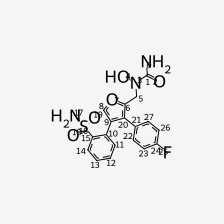 NC(=O)N(O)Cc1occ(-c2ccccc2S(N)(=O)=O)c1-c1ccc(F)cc1